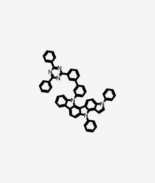 c1ccc(-c2nc(-c3ccccc3)nc(-c3cccc(-c4cccc(-n5c6ccccc6c6ccc7c(c8ccc9c(ccn9-c9ccccc9)c8n7-c7ccccc7)c65)c4)c3)n2)cc1